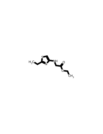 CCOC(=O)CNc1csc(CC)n1